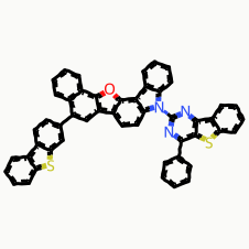 c1ccc(-c2nc(-n3c4ccccc4c4c5oc6c7ccccc7c(-c7ccc8c(c7)sc7ccccc78)cc6c5ccc43)nc3c2sc2ccccc23)cc1